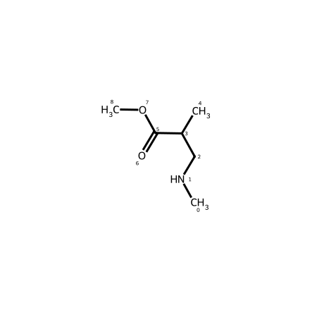 CNCC(C)C(=O)OC